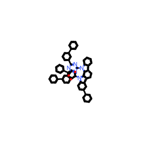 c1ccc(-c2ccc(-n3c4ccc(-c5ccccc5)cc4c4ccc5c6ccccc6n(-c6nc(-c7cccc(-c8ccccc8)c7)nc(-c7cccc(-c8ccccc8)c7)n6)c5c43)cc2)cc1